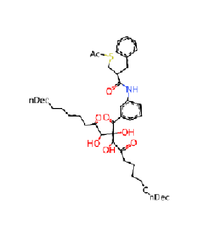 CCCCCCCCCCCCCCCC(=O)C(O)C(O)(C(=O)c1cccc(NC(=O)C(CSC(C)=O)Cc2ccccc2)c1)C(O)C(=O)CCCCCCCCCCCCCCC